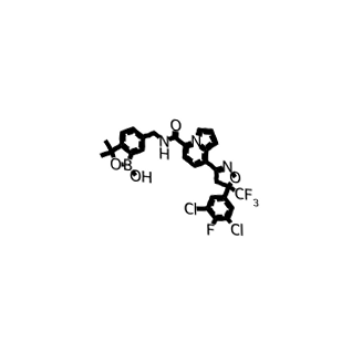 CC1(C)OB(O)c2cc(CNC(=O)c3ccc(C4=NOC(c5cc(Cl)c(F)c(Cl)c5)(C(F)(F)F)C4)c4cccn34)ccc21